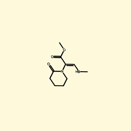 CB/C=C(/C(=O)OC)N1CCCCC1=O